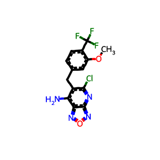 COc1cc(Cc2c(Cl)nc3nonc3c2N)ccc1C(F)(F)F